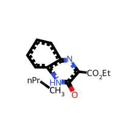 CCCC.CCOC(=O)c1nc2ccccc2[nH]c1=O